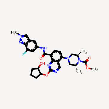 C[C@@H]1CN(c2ccc(C(=O)Nc3cc(F)c4nn(C)cc4c3)c3nc(OC4CCCC4O)ncc23)C[C@H](C)N1C(=O)OC(C)(C)C